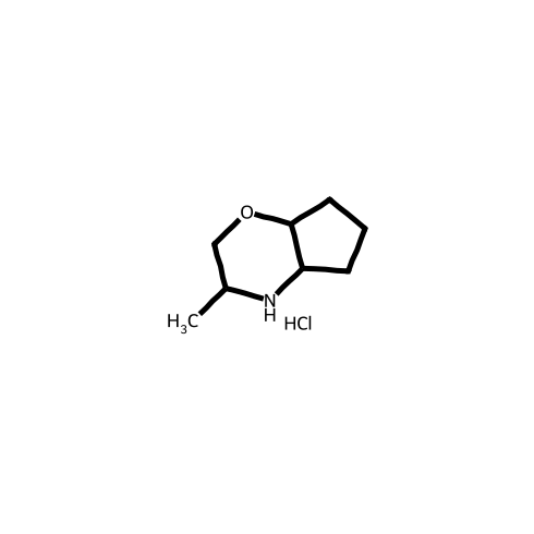 CC1COC2CCCC2N1.Cl